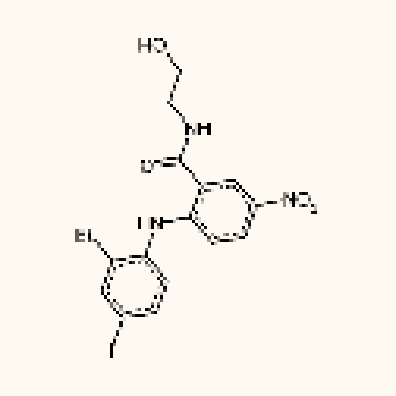 CCc1cc(I)ccc1Nc1ccc([N+](=O)[O-])cc1C(=O)NCCO